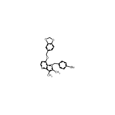 Cc1c(C)n(Cc2ccc(C(C)(C)C)cc2)c2c(OCc3ccc4c(c3)OCO4)ccnc12